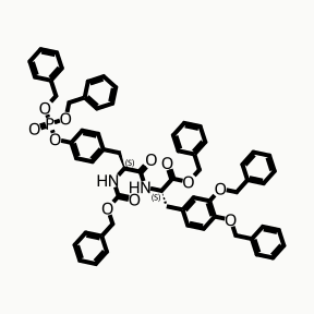 O=C(N[C@@H](Cc1ccc(OP(=O)(OCc2ccccc2)OCc2ccccc2)cc1)C(=O)N[C@@H](Cc1ccc(OCc2ccccc2)c(OCc2ccccc2)c1)C(=O)OCc1ccccc1)OCc1ccccc1